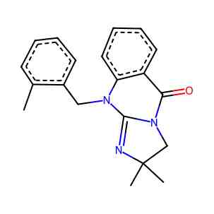 Cc1ccccc1CN1C2=NC(C)(C)CN2C(=O)c2ccccc21